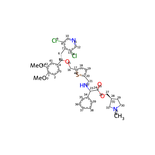 COc1ccc([C@H](Cc2c(Cl)cncc2Cl)OCc2ccc(CNC(C(=O)OC[C@H]3CCN(C)C3)c3ccccc3)s2)cc1OC